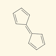 C1=CC(=C2C=CC=C2)C=C1